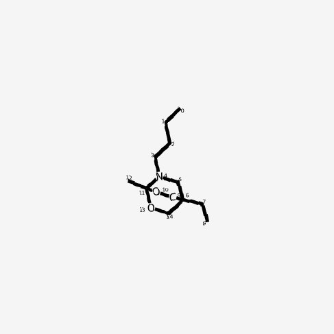 CCCCN1CC2(CC)COC1(C)OC2